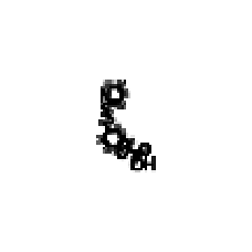 O=C(O)c1cc2cc(CSSc3ccccn3)ccc2o1